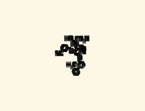 Cc1c(COc2cc(OCc3cccc(C#N)c3)c(CN[C@H](CO)C(=O)O)c3nonc23)cccc1-c1ccccc1